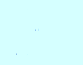 C[SiH](C)C1=C(CCO[Si](C)(C)C)c2ccccc2C1[C]1([Zr]([CH3])([CH3])=[SiH2])C=Cc2ccccc21.Cl.Cl